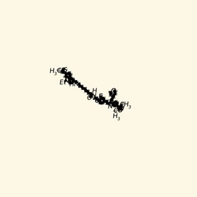 CCn1c2ccc(CNCCCCCCCCCC(=O)NCCOc3ccc(CCc4nc5cc(-c6c(C)noc6C)ccc5n4CCN4CCOCC4)cc3F)cc2c2ccc(-c3cc(C)cs3)cc21